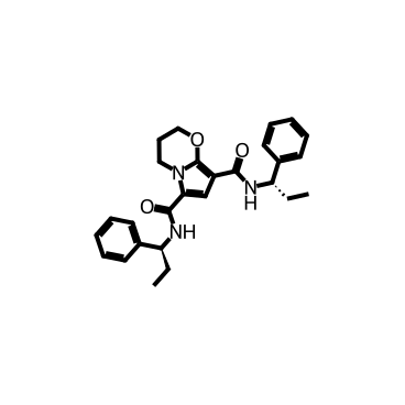 CC[C@H](NC(=O)c1cc(C(=O)N[C@@H](CC)c2ccccc2)n2c1OCCC2)c1ccccc1